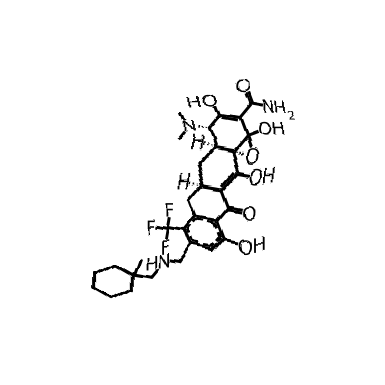 CN(C)[C@@H]1C(O)=C(C(N)=O)C2(O)O[C@@]23C(O)=C2C(=O)c4c(O)cc(CNCC5(C)CCCCC5)c(C(F)(F)F)c4C[C@H]2C[C@@H]13